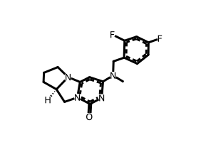 CN(Cc1ccc(F)cc1F)c1cc2n(c(=O)n1)C[C@H]1CCCN21